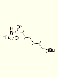 CC(C)(C)CCCCCCS(=O)(=O)NC(C)(C)C